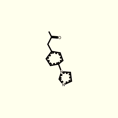 CC(=O)Cc1ccc(-n2ccnc2)cc1